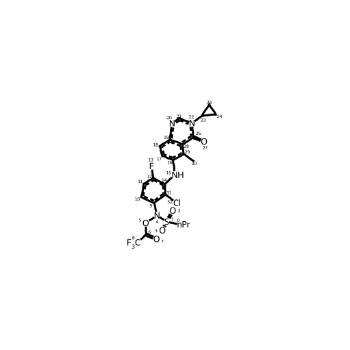 CCCS(=O)(=O)N(OC(=O)C(F)(F)F)c1ccc(F)c(Nc2ccc3ncn(C4CC4)c(=O)c3c2C)c1Cl